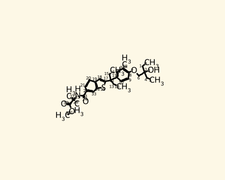 CCC(O)(CC)COc1ccc(C(CC)(CC)c2cc3ccc(C(=O)NC(C)(C)C(=O)OC)cc3s2)cc1C